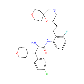 NC(C(=O)Nc1cccc(F)c1CC[C@@H]1CNCC2(CCOCC2)O1)C(c1ccc(Cl)cc1)C1CCOCC1